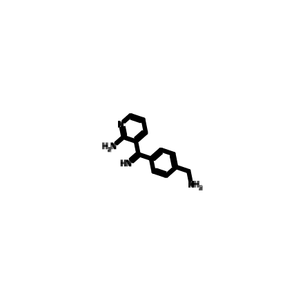 N=C(c1ccc(CN)cc1)c1cccnc1N